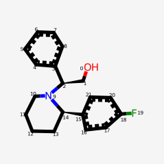 OC[C@H](c1ccccc1)N1CCCC[C@@H]1c1ccc(F)cc1